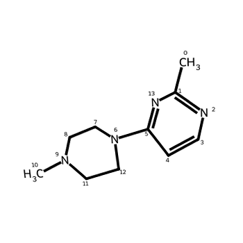 Cc1nccc(N2CCN(C)CC2)n1